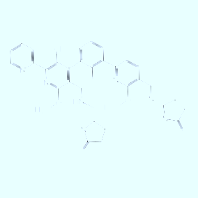 COc1nc(-c2cccc(-c3c(Cl)c(-c4ccccn4)nc(OC)c3CNC[C@@H]3CCC(=O)N3)c2Cl)ccc1CN[C@@H]1CCC(=O)N1